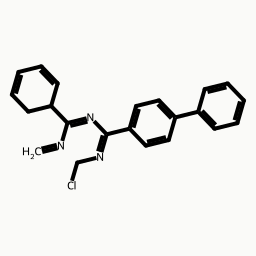 C=N/C(=N\C(=N/CCl)c1ccc(-c2ccccc2)cc1)C1C=CC=CC1